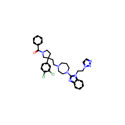 O=C(c1ccccc1)N1CCC(CCN2CCCN(c3nc4ccccc4n3CCn3ccnn3)CC2)(c2ccc(Cl)c(Cl)c2)C1